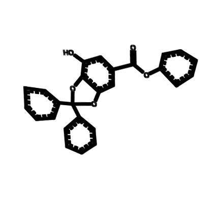 O=C(Oc1ccccc1)c1cc(O)c2c(c1)OC(c1ccccc1)(c1ccccc1)O2